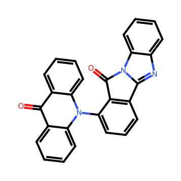 O=C1c2c(cccc2-n2c3ccccc3c(=O)c3ccccc32)-c2nc3ccccc3n21